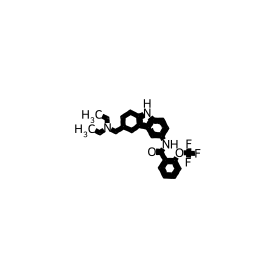 CCN(CC)CC1CCc2[nH]c3ccc(NC(=O)c4ccccc4OC(F)(F)F)cc3c2C1